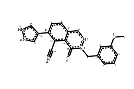 COc1cccc(Cn2ncc3ccc(-c4cn[nH]c4)c(C#N)c3c2=O)c1